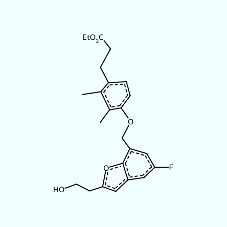 CCOC(=O)CCc1ccc(OCc2cc(F)cc3cc(CCO)oc23)c(C)c1C